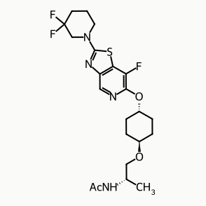 CC(=O)N[C@@H](C)CO[C@H]1CC[C@H](Oc2ncc3nc(N4CCCC(F)(F)C4)sc3c2F)CC1